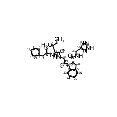 CC[C@H](C)[C@H](NC(=O)Cc1ccccc1)C(=O)NCC(=O)N1c2ccccc2C[C@H]1C(=O)NCc1nn[nH]n1